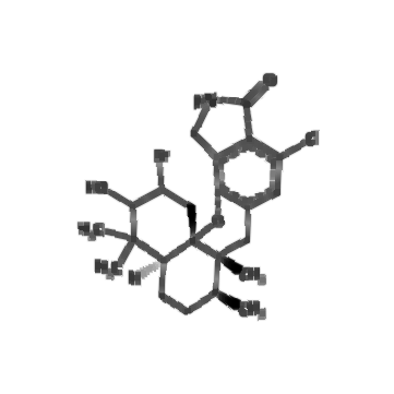 C[C@H]1CC[C@H]2C(C)(C)C(O)C(Br)C[C@]23Oc2c(cc(Cl)c4c2CNC4=O)C[C@]13C